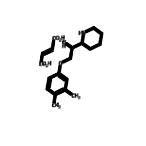 Cc1ccc(OCC(O)C2CCCCN2)cc1C.O=C(O)/C=C/C(=O)O